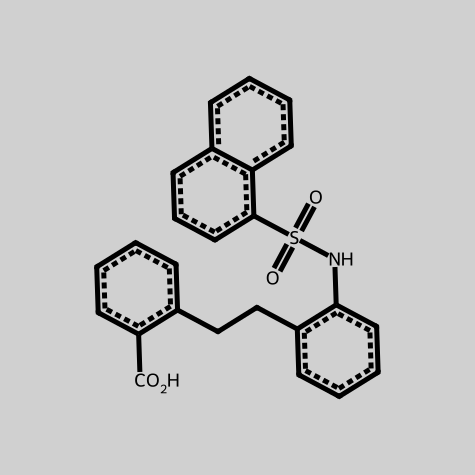 O=C(O)c1ccccc1CCc1ccccc1NS(=O)(=O)c1cccc2ccccc12